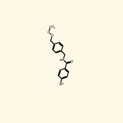 COOCc1ccc(CNC(=O)c2ccc(S)cc2)cc1